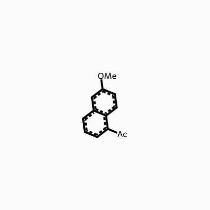 COc1ccc2c(C(C)=O)cccc2c1